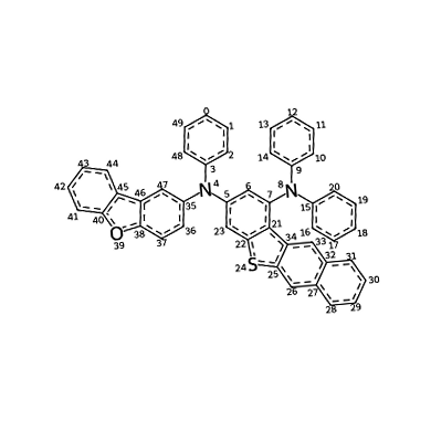 c1ccc(N(c2cc(N(c3ccccc3)c3ccccc3)c3c(c2)sc2cc4ccccc4cc23)c2ccc3oc4ccccc4c3c2)cc1